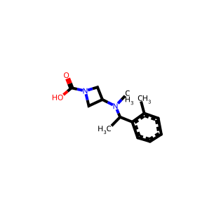 Cc1ccccc1C(C)N(C)C1CN(C(=O)O)C1